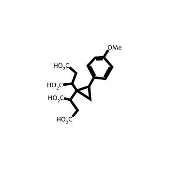 COc1ccc(C2CC2(C(CC(=O)O)C(=O)O)C(CC(=O)O)C(=O)O)cc1